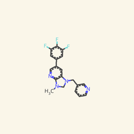 CN1CN(Cc2cccnc2)c2cc(-c3cc(F)c(F)c(F)c3)cnc21